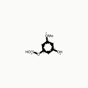 COc1cc(O)cc(OS(=O)(=O)O)c1